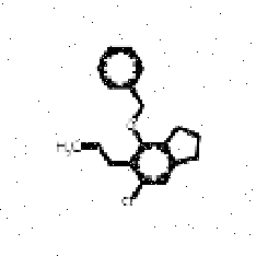 C=CCc1c(Cl)cc2c(c1OCc1ccccc1)CCC2